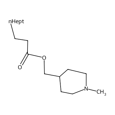 CCCCCCCCCC(=O)OCC1CCN(C)CC1